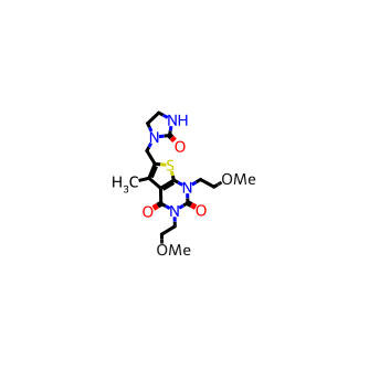 COCCn1c(=O)c2c(C)c(CN3CCNC3=O)sc2n(CCOC)c1=O